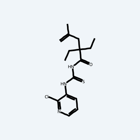 C=C(C)CC(CC)(CC)C(=O)NC(=S)Nc1cccnc1Cl